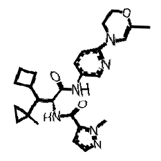 CC1=CN(c2ccc(NC(=O)[C@@H](NC(=O)c3ccnn3C)C(C3CCC3)C3(C)CC3)cn2)CCO1